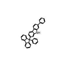 c1ccc(-c2ccc3c(c2)[nH]c2cc(C4(c5ccccc5)c5ccccc5-c5ccccc54)ccc23)cc1